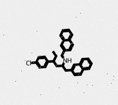 CCC(CC(Cc1ccc2ccccc2c1)NCc1ccc2ccccc2c1)c1ccc(Cl)cc1